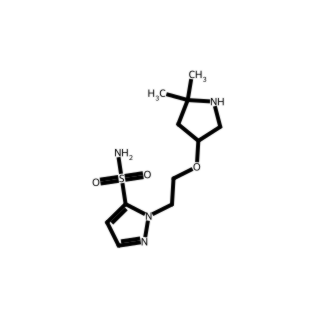 CC1(C)CC(OCCn2nccc2S(N)(=O)=O)CN1